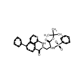 CC(C)(C)OC(=O)C(CN(Nc1ncccn1)C(=O)c1ccc(-c2ccccc2)cc1)NS(=O)(=O)c1ccccc1